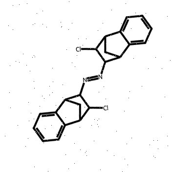 ClC1C2CC(c3ccccc32)C1N=NC1C2CC(c3ccccc32)C1Cl